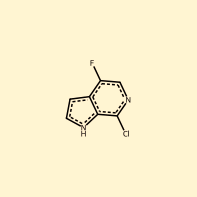 Fc1cnc(Cl)c2[nH]ccc12